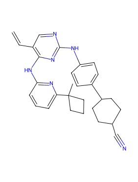 C=Cc1cnc(Nc2ccc(C3CCC(C#N)CC3)cc2)nc1Nc1cccc(C2(C)CCC2)n1